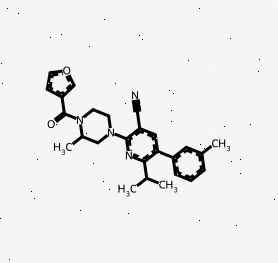 Cc1cccc(-c2cc(C#N)c(N3CCN(C(=O)c4ccoc4)C(C)C3)nc2C(C)C)c1